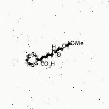 COCCOCCC(=O)NCCCC[C@@H](C(=O)O)C1SSCSSCSS1